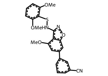 COc1cccc(OC)c1SNc1noc2cc(-c3cccc(C#N)c3)cc(OC)c12